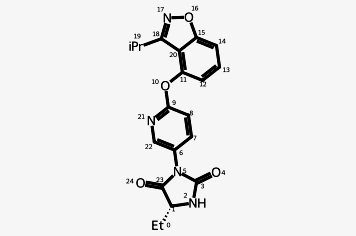 CC[C@H]1NC(=O)N(c2ccc(Oc3cccc4onc(C(C)C)c34)nc2)C1=O